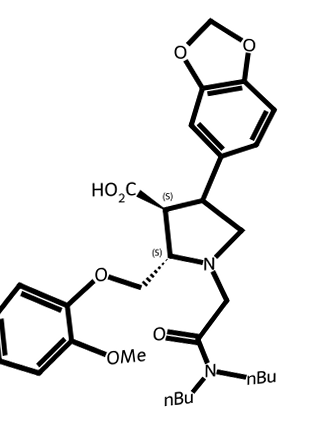 CCCCN(CCCC)C(=O)CN1CC(c2ccc3c(c2)OCO3)[C@H](C(=O)O)[C@H]1COc1ccccc1OC